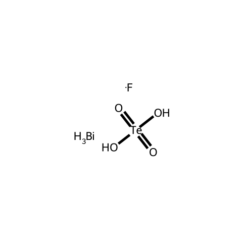 O=[Te](=O)(O)O.[BiH3].[F]